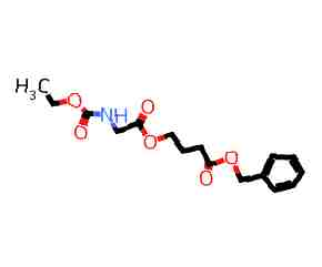 CCOC(=O)NCC(=O)OCCCC(=O)OCc1ccccc1